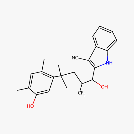 Cc1cc(C)c(C(C)(C)CC(C(O)c2[nH]c3ccccc3c2C#N)C(F)(F)F)cc1O